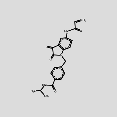 C=CC(=O)Nc1ccc2c(c1)C(=O)C(=O)N2Cc1ccc(C(=O)NC(C)C)cc1